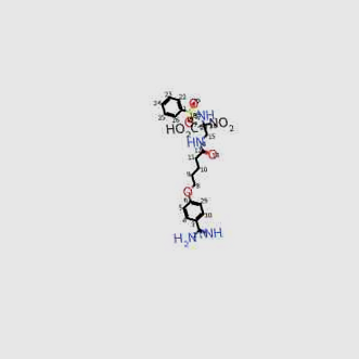 N=C(N)c1ccc(OCCCCC(=O)NC[C@](NS(=O)(=O)c2ccccc2)(C(=O)O)[N+](=O)[O-])cc1